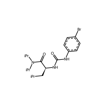 CC(C)C[C@H](NC(=O)Nc1ccc(Br)cc1)C(=O)N(C(C)C)C(C)C